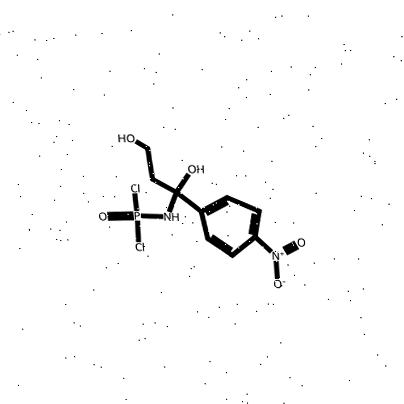 O=[N+]([O-])c1ccc(C(O)(CCO)NP(=O)(Cl)Cl)cc1